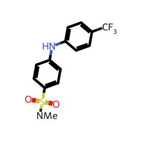 CNS(=O)(=O)c1ccc(Nc2ccc(C(F)(F)F)cc2)cc1